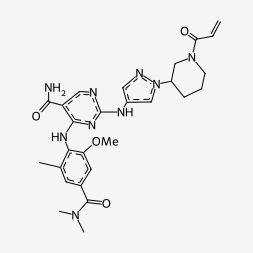 C=CC(=O)N1CCCC(n2cc(Nc3ncc(C(N)=O)c(Nc4c(C)cc(C(=O)N(C)C)cc4OC)n3)cn2)C1